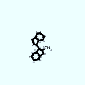 CC1=C(C2C=Cc3ccccc32)c2ccccc2[CH]1